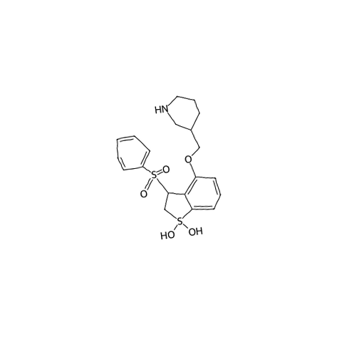 O=S(=O)(c1ccccc1)C1CS(O)(O)c2cccc(OCC3CCCNC3)c21